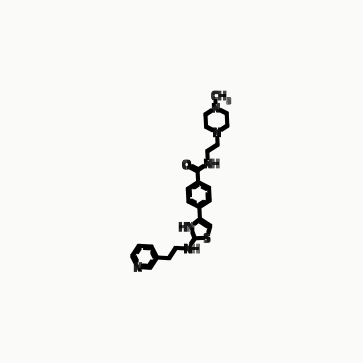 CN1CCN(CCNC(=O)c2ccc(C3=CSC(NCCc4cccnc4)N3)cc2)CC1